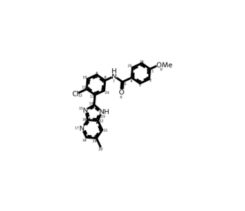 COc1ccc(C(=O)Nc2ccc(Cl)c(-c3nc4ncc(C)cc4[nH]3)c2)cc1